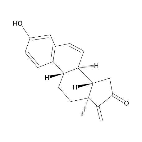 C=C1C(=O)C[C@H]2[C@@H]3C=Cc4cc(O)ccc4[C@H]3CC[C@]12C